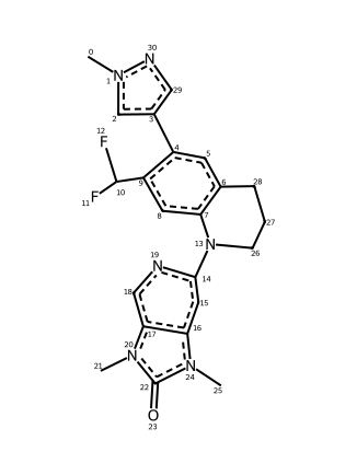 Cn1cc(-c2cc3c(cc2C(F)F)N(c2cc4c(cn2)n(C)c(=O)n4C)CCC3)cn1